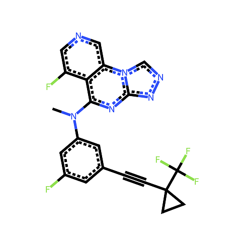 CN(c1cc(F)cc(C#CC2(C(F)(F)F)CC2)c1)c1nc2nncn2c2cncc(F)c12